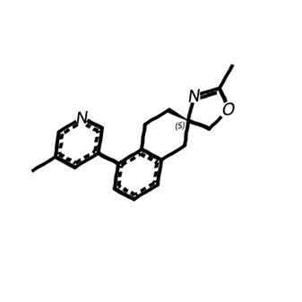 CC1=N[C@]2(CCc3c(cccc3-c3cncc(C)c3)C2)CO1